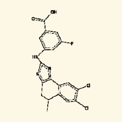 CC1Cc2sc(Nc3cc(F)cc(C(=O)O)c3)nc2-c2cc(Cl)c(Cl)cc21